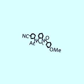 COc1ccc(C(=O)N2c3ccccc3[C@H](N(C(C)=O)c3cccc(C#N)c3)C[C@@H]2C)cc1